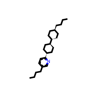 CCCCc1ccc([C@H]2CC[C@H]([C@H]3CC[C@H](CCCC)CC3)CC2)nc1